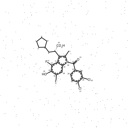 Cc1c([C@H](CC2CCCC2)C(=O)O)c2c(F)c(O)c(F)cc2n1C(=O)c1ccc(Cl)c(Cl)c1